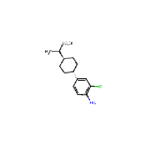 CCOC(=O)C(C)[C@H]1CC[C@H](c2ccc(N)c(Cl)c2)CC1